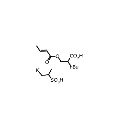 CC([CH2][K])S(=O)(=O)O.CC=CC(=O)OCC(CCCC)C(=O)O